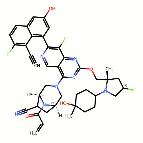 C#Cc1c(F)ccc2cc(O)cc(-c3ncc4c(N5C[C@H]6CC(C#N)[C@@H](C5)N6C(=O)C=C)nc(OC[C@]5(C)C[C@@H](F)CN5C5CCC(C)(O)CC5)nc4c3F)c12